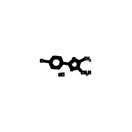 Cc1oc(-c2ccc(Cl)cc2)nc1C(=O)O.Cl